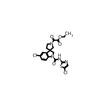 CCOC(=O)C(=O)N1CCC2(C1)CN(C(=O)Nc1ncc(Cl)s1)c1ccc(Cl)cc12